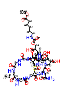 CC[C@H](C)[C@@H]1NC(=O)CNC(=O)C2Cc3c([nH]c4cc(O)ccc34)[S@+]([O-])CC(NC(=O)CNC1=O)C(=O)N[C@@H](CC(N)=O)C(=O)N1CC(O)C[C@H]1C(=O)N[C@@H]([C@@H](C)[C@@H](O)COC(=O)NCCCCCC(=O)OC(C)(C)C)C(=O)N2